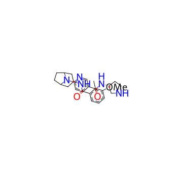 COc1cccc(C(=O)NC2CC3CCC(C2)N3c2ccc(C(=O)N[C@@H]3CCNC3)cn2)c1C